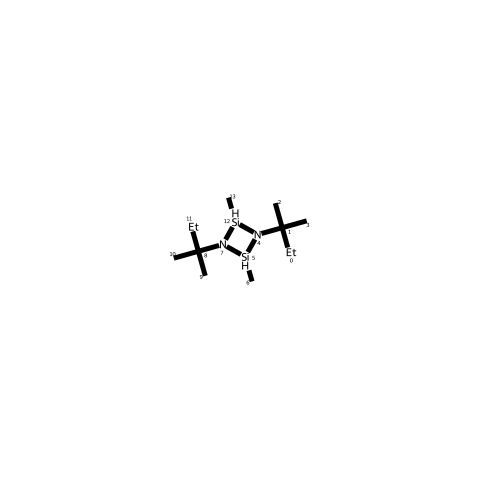 CCC(C)(C)N1[SiH](C)N(C(C)(C)CC)[SiH]1C